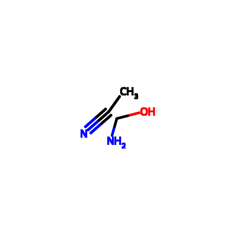 CC#N.NCO